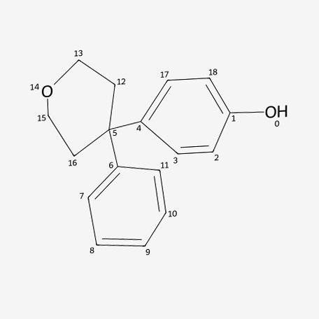 Oc1ccc(C2(c3ccccc3)CCOCC2)cc1